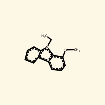 CCn1c2ccccc2c2cccc(OC)c21